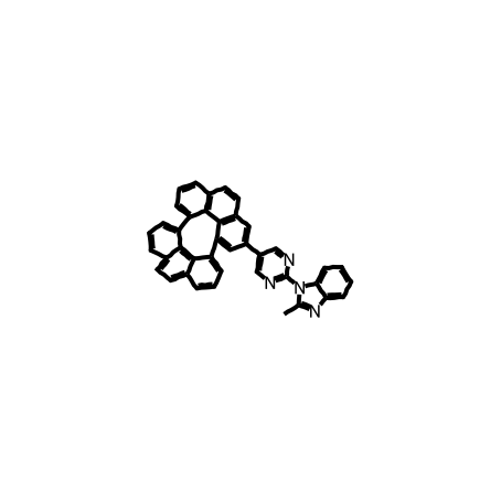 Cc1nc2ccccc2n1-c1ncc(-c2cc3ccc4cccc5c6cccc7ccc8cccc(c(c2)c3c45)c8c76)cn1